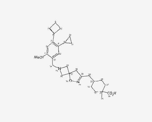 COc1cc(C2CCC2)c(C2CC2)cc1CN1CC2(CC(CC3CCC(C)(C(=O)O)CC3)=NO2)C1